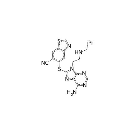 CC(C)CNCCn1c(Sc2cc3ncsc3cc2C#N)nc2c(N)ncnc21